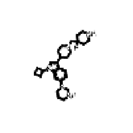 FC1(CN2CCC(c3cn(C4CCC4)c4cc(N5C=CCNC5)ccc34)CC2)CCNCC1